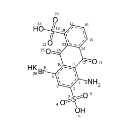 Nc1c(S(=O)(=O)O)cc(Br)c2c1C(=O)c1cccc(S(=O)(=O)O)c1C2=O.[KH]